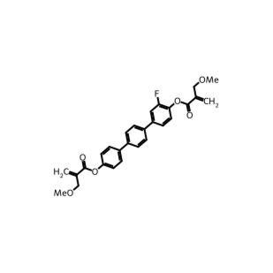 C=C(COC)C(=O)Oc1ccc(-c2ccc(-c3ccc(OC(=O)C(=C)COC)c(F)c3)cc2)cc1